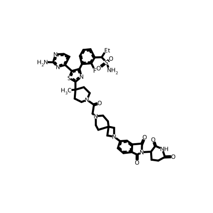 CCC(c1cccc(-c2nc(C3(C)CCN(C(=O)CN4CCC5(CC4)CN(c4ccc6c(c4)C(=O)N(C4CCC(=O)NC4=O)C6=O)C5)CC3)sc2-c2ccnc(N)n2)c1F)S(N)(=O)=O